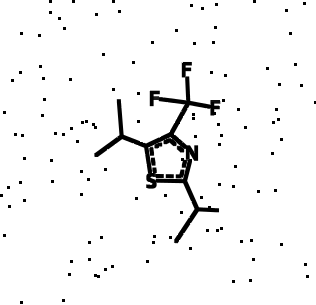 CC(C)c1nc(C(F)(F)F)c(C(C)C)s1